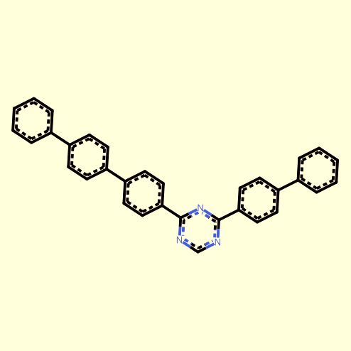 c1ccc(-c2ccc(-c3ccc(-c4ncnc(-c5ccc(-c6ccccc6)cc5)n4)cc3)cc2)cc1